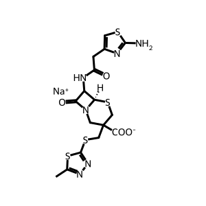 Cc1nnc(SCC2(C(=O)[O-])CS[C@@H]3C(NC(=O)Cc4csc(N)n4)C(=O)N3C2)s1.[Na+]